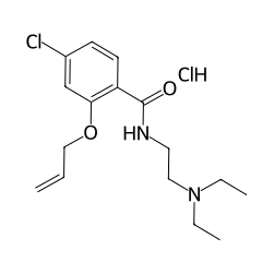 C=CCOc1cc(Cl)ccc1C(=O)NCCN(CC)CC.Cl